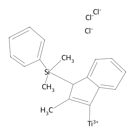 CC1=[C]([Ti+3])c2ccccc2C1[Si](C)(C)c1ccccc1.[Cl-].[Cl-].[Cl-]